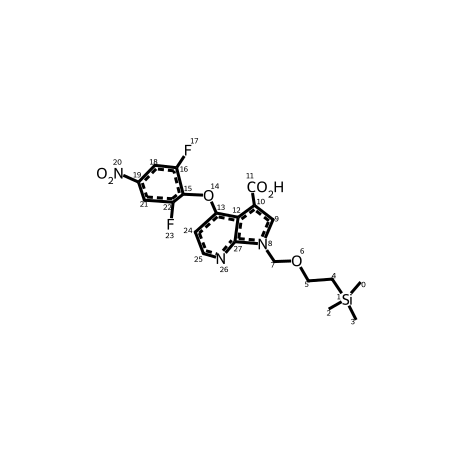 C[Si](C)(C)CCOCn1cc(C(=O)O)c2c(Oc3c(F)cc([N+](=O)[O-])cc3F)ccnc21